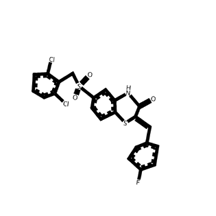 O=C1Nc2cc(S(=O)(=O)Cc3c(Cl)cccc3Cl)ccc2S/C1=C\c1ccc(F)cc1